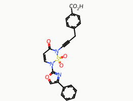 O=C(O)c1ccc(CC#CN2C(=O)C=CN(c3nc(-c4ccccc4)co3)S2(=O)=O)cc1